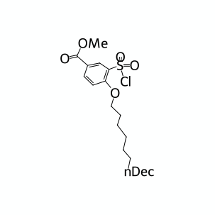 CCCCCCCCCCCCCCCCOc1ccc(C(=O)OC)cc1S(=O)(=O)Cl